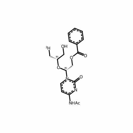 [2H]C[C@H](CO)O[C@H](COC(=O)c1ccccc1)n1ccc(NC(C)=O)nc1=O